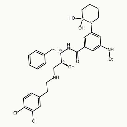 CCNc1cc(C(=O)N[C@@H](Cc2ccccc2)[C@@H](O)CNCCc2ccc(Cl)c(Cl)c2)cc(N2CCCCS2(O)O)c1